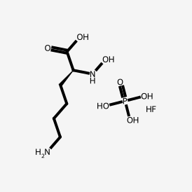 F.NCCCC[C@H](NO)C(=O)O.O=P(O)(O)O